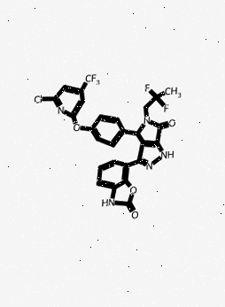 CC(F)(F)CN1C(=O)c2[nH]nc(-c3cccc4[nH]c(=O)oc34)c2C1c1ccc(Oc2cc(C(F)(F)F)cc(Cl)n2)cc1